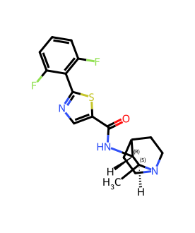 C[C@H]1[C@H](NC(=O)c2cnc(-c3c(F)cccc3F)s2)C2CCN1CC2